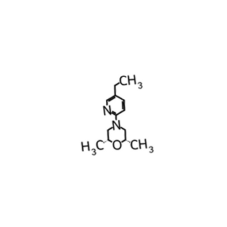 CCc1ccc(N2C[C@@H](C)O[C@@H](C)C2)nc1